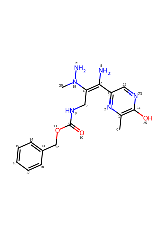 Cc1nc(/C(N)=C(\CNC(=O)OCc2ccccc2)N(C)N)cnc1O